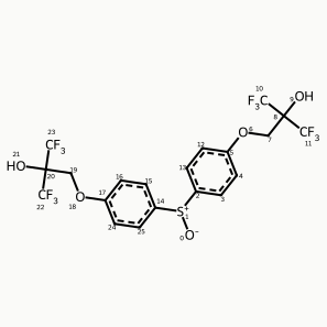 [O-][S+](c1ccc(OCC(O)(C(F)(F)F)C(F)(F)F)cc1)c1ccc(OCC(O)(C(F)(F)F)C(F)(F)F)cc1